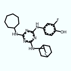 Oc1ccc(Nc2nc(NC3CCCCCC3)nc(NC3CC4CCC3CC4)n2)cc1F